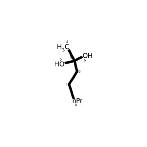 CCCCCC(C)(O)O